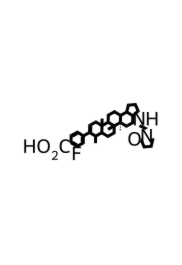 CC1C(c2ccc(C(=O)O)c(F)c2)=CCC2(C)C1CCC1(C)C2CCC2C3CCCC3(NCCN3CCCC3=O)CC[C@]21C